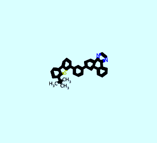 CC(C)(C)c1cccc2c1sc1c(-c3cccc(-c4ccc5c(c4)c4ccccc4c4nccnc54)c3)cccc12